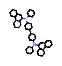 C1=Cc2c(c(N(c3ccccc3)c3ccc(-c4ccc(N(c5ccccc5)c5cc6ccccc6c6ccccc56)cc4)cc3)cc3ccccc23)CC1